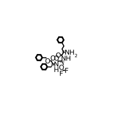 N[C@@H](CCc1ccccc1)C(=O)N[C@@H](COC(F)F)C(=O)N[C@@H](Cc1ccccc1)C(=O)OCc1ccccc1